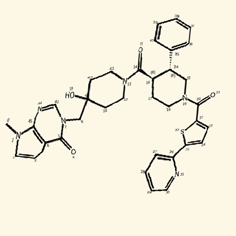 Cn1ccc2c(=O)n(CC3(O)CCN(C(=O)[C@@H]4CCN(C(=O)c5ccc(-c6ccccn6)s5)C[C@H]4c4ccccc4)CC3)cnc21